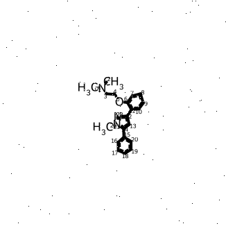 CN(C)CCOc1ccccc1-c1cc(-c2ccccc2)n(C)n1